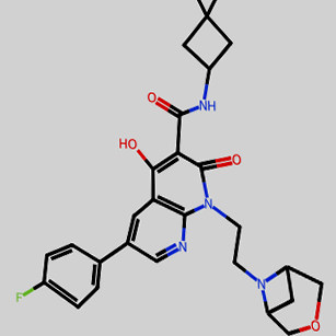 O=C(NC1CC2(CC2)C1)c1c(O)c2cc(-c3ccc(F)cc3)cnc2n(CCN2C3COCC2C3)c1=O